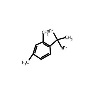 CCCC(C)(CCC)c1ccc(C(F)(F)F)cc1C(F)(F)F